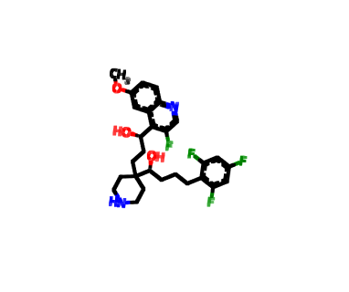 COc1ccc2ncc(F)c([C@H](O)CCC3([C@@H](O)CCCc4c(F)cc(F)cc4F)CCNCC3)c2c1